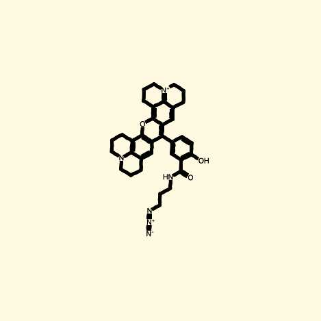 [N-]=[N+]=NCCCNC(=O)c1cc(C2=c3cc4c5c(c3Oc3c2cc2c6c3CCCN6CCC2)CCC[N+]=5CCC4)ccc1O